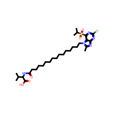 Cc1nc2nc(Cl)nc(S(=O)(=O)C(C)C)c2n1CCCCCCCCCCCCCCCC(=O)NC(C(=O)O)C(C)C